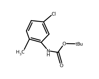 Cc1ccc(Cl)cc1NC(=O)OC(C)(C)C